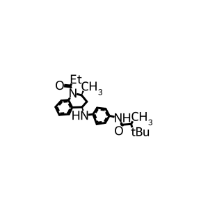 CCC(=O)N1c2ccccc2[C@H](Nc2ccc(NC(=O)C(C)C(C)(C)C)cc2)C[C@@H]1C